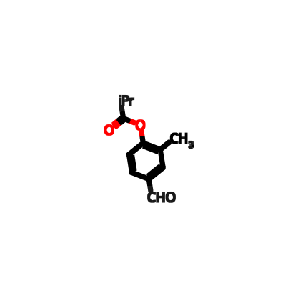 Cc1cc(C=O)ccc1OC(=O)C(C)C